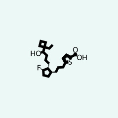 CCC1(C(O)CCC[C@@H]2[C@@H](CCCc3ccc(C(=O)O)s3)CC[C@@H]2F)CCC1